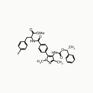 COC(=O)C(Cc1ccc(F)cc1)NC(=O)c1ccc(-c2c(NC(=O)O[C@H](C)c3ccccc3)c(C)nn2C)cc1